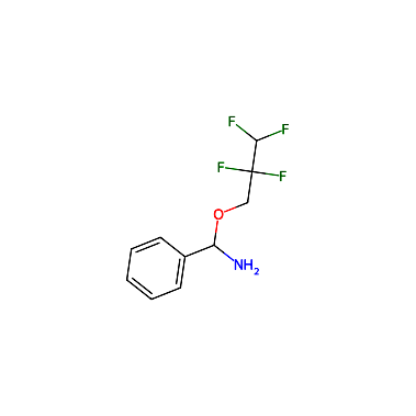 NC(OCC(F)(F)C(F)F)c1ccccc1